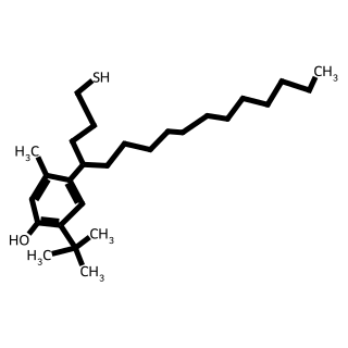 CCCCCCCCCCCCC(CCCS)c1cc(C(C)(C)C)c(O)cc1C